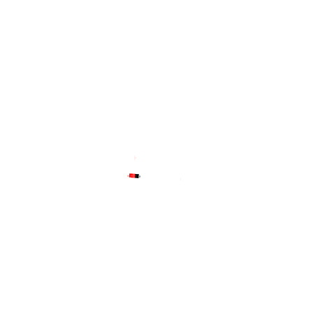 [C+2]=O.[Ca+2].[OH-].[OH-].[OH-].[OH-]